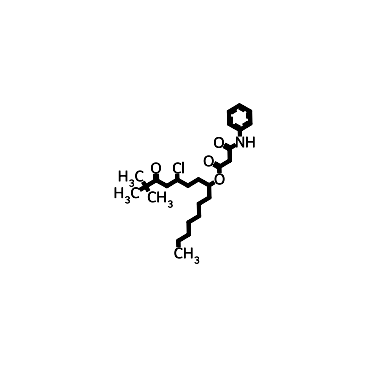 CCCCCCCC(CCC(Cl)CC(=O)C(C)(C)C)OC(=O)CC(=O)Nc1ccccc1